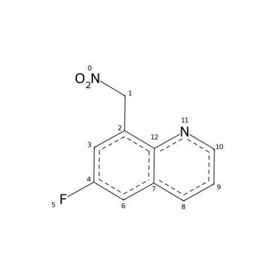 O=[N+]([O-])Cc1cc(F)cc2cccnc12